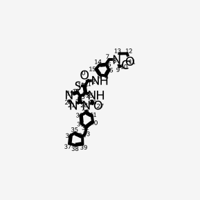 O=C(Nc1ccc(CN2CCOCC2)cc1)c1sc2ncnc3c2c1NC(=O)N3c1ccc(Cc2ccccc2)cc1